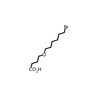 O=C(O)CCCOCCCCCCBr